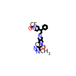 Cc1ncnc(C)c1C(=O)N1C=C2CN(CCC(c3ccccc3)C3CCN(C(=O)C(F)(F)F)CC3)CC2C1